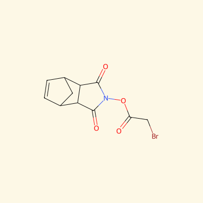 O=C(CBr)ON1C(=O)C2C3C=CC(C3)C2C1=O